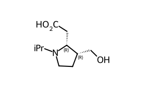 CC(C)N1CC[C@@H](CO)[C@H]1CC(=O)O